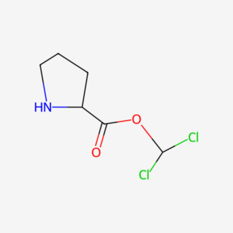 O=C(OC(Cl)Cl)C1CCCN1